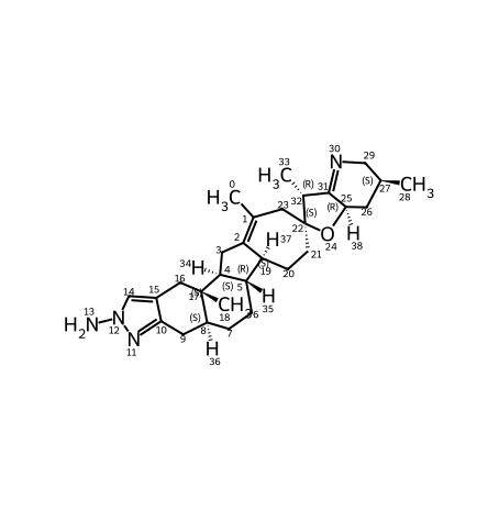 CC1=C2C[C@H]3[C@@H](CC[C@H]4Cc5nn(N)cc5C[C@@]43C)[C@@H]2CC[C@@]2(C1)O[C@@H]1C[C@H](C)CN=C1[C@H]2C